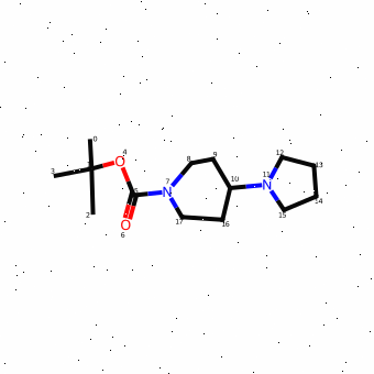 CC(C)(C)OC(=O)N1CCC(N2CCCC2)CC1